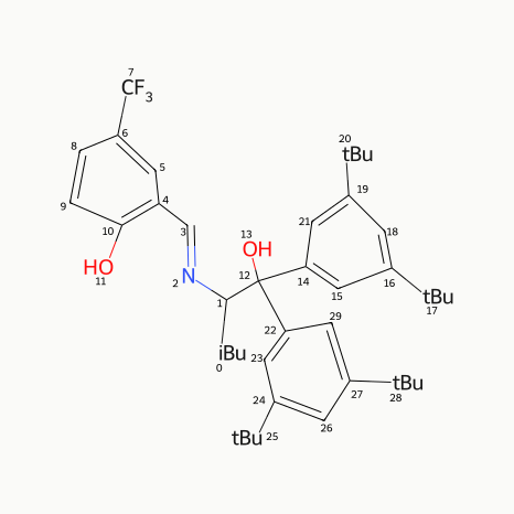 CCC(C)C(N=Cc1cc(C(F)(F)F)ccc1O)C(O)(c1cc(C(C)(C)C)cc(C(C)(C)C)c1)c1cc(C(C)(C)C)cc(C(C)(C)C)c1